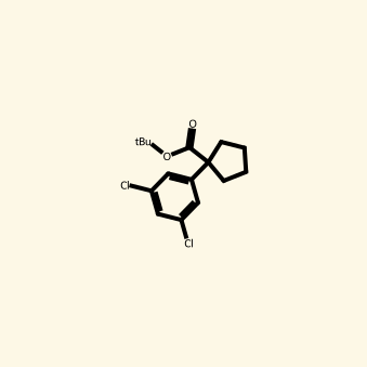 CC(C)(C)OC(=O)C1(c2cc(Cl)cc(Cl)c2)CCCC1